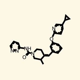 CC1CN(C(=O)Nc2cccnn2)CCC1=Cc1cccc(Oc2ccc(C3CC3)cn2)c1